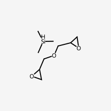 C(OCC1CO1)C1CO1.C[SiH](C)C